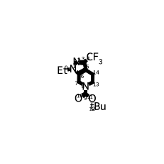 CCn1nc(C(F)(F)F)c2c1CN(C(=O)OC(C)(C)C)CC2